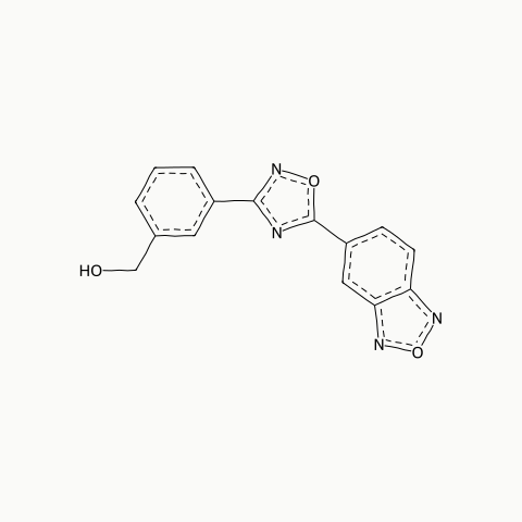 OCc1cccc(-c2noc(-c3ccc4nonc4c3)n2)c1